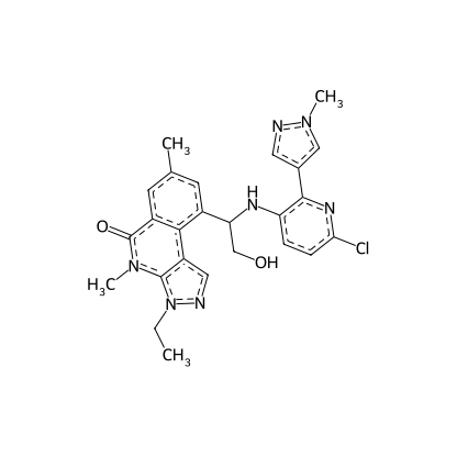 CCn1ncc2c3c(C(CO)Nc4ccc(Cl)nc4-c4cnn(C)c4)cc(C)cc3c(=O)n(C)c21